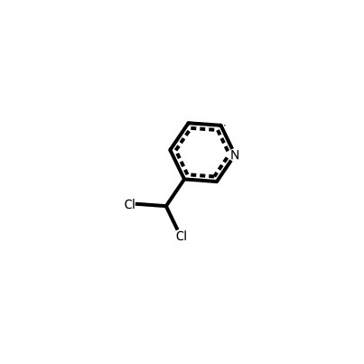 ClC(Cl)c1cc[c]nc1